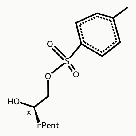 CCCCC[C@@H](O)COS(=O)(=O)c1ccc(C)cc1